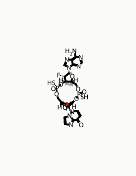 Nc1ncnc2c1ncn2[C@@H]1O[C@@H]2CO[P@@](=O)(S)O[C@@H]3[C@H](O)[C@@H](CO[P@@](=O)(S)O[C@H]2[C@@H]1F)O[C@H]3n1ccc(=O)c2nccn21